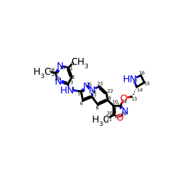 Cc1cc(Nc2cc3cc(-c4c(OC[C@H]5CCN5)noc4C)ccn3n2)nc(C)n1